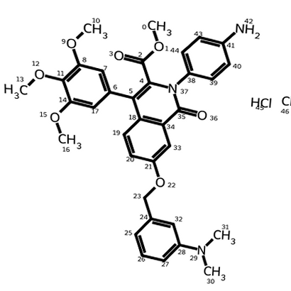 COC(=O)c1c(-c2cc(OC)c(OC)c(OC)c2)c2ccc(OCc3cccc(N(C)C)c3)cc2c(=O)n1-c1ccc(N)cc1.Cl.Cl